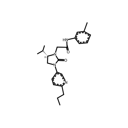 CCCc1ccc(N2C[C@H](C(C)C)N(CC(=O)Nc3cccc(C)c3)C2=O)cn1